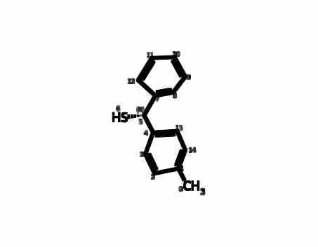 Cc1ccc([C@H](S)c2ccccc2)cc1